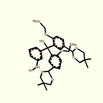 COCOc1ccc(C2OCC(C)(C)CO2)cc1C(O)(c1cccc(NC(C)C)c1)c1cc(C2OCC(C)(C)CO2)ccc1OCOC